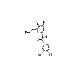 N#Cc1cc(C(=O)Nc2cc(F)c(=O)n(CCF)c2)ccc1Cl